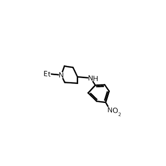 CCN1CCC(Nc2ccc([N+](=O)[O-])cc2)CC1